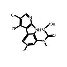 CN(C(=O)OC(C)(C)C)c1cc(F)cc2c1[nH]c1ncc(Cl)c(Cl)c12